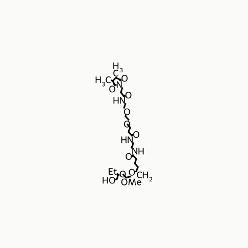 C=C(CCCC(=O)NCCNC(=O)CCOCCOCCNC(=O)CCN1C(=O)C(C)C(C)C1=O)OCC(OC)OC(CC)CO